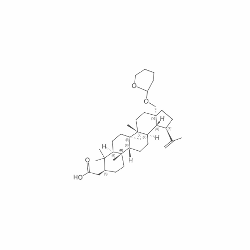 C=C(C)[C@@H]1CC[C@]2(COC3CCCCO3)CC[C@]3(C)[C@H](CC[C@@H]4[C@]5(C)CC[C@@H](CC(=O)O)C(C)(C)[C@H]5CC[C@]43C)[C@@H]12